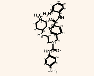 Cc1ccc(NC(=O)N(CCNC2CCN(C)CC2)Cc2ccc(C(=O)Nc3ccccc3N)nc2)cc1